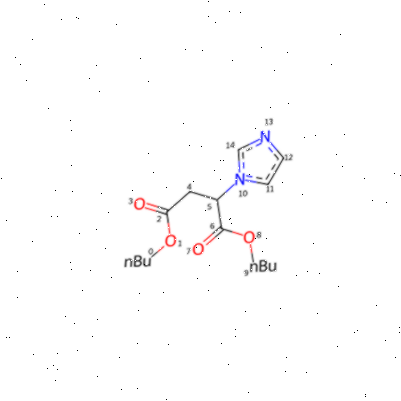 CCCCOC(=O)CC(C(=O)OCCCC)n1ccnc1